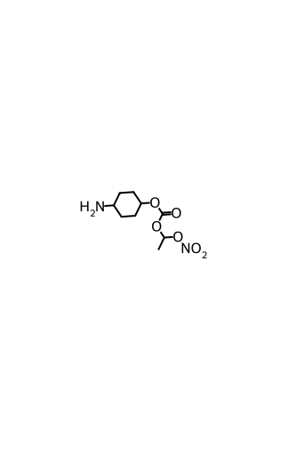 CC(OC(=O)OC1CCC(N)CC1)O[N+](=O)[O-]